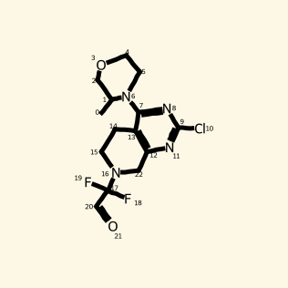 CC1COCCN1c1nc(Cl)nc2c1CCN(C(F)(F)C=O)C2